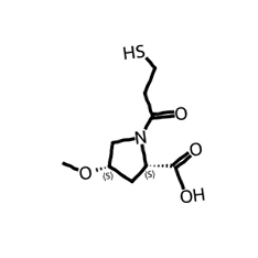 CO[C@H]1C[C@@H](C(=O)O)N(C(=O)CCS)C1